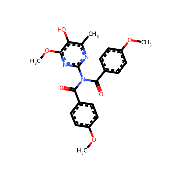 COc1ccc(C(=O)N(C(=O)c2ccc(OC)cc2)c2nc(C)c(O)c(OC)n2)cc1